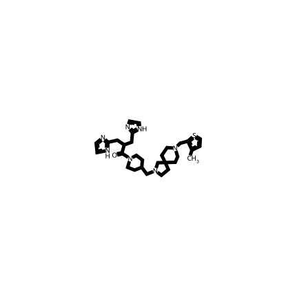 Cc1ccsc1CN1CCC2(CC1)CCN(CC1CCN(C(=O)C(Cc3ncc[nH]3)Cc3ncc[nH]3)CC1)C2